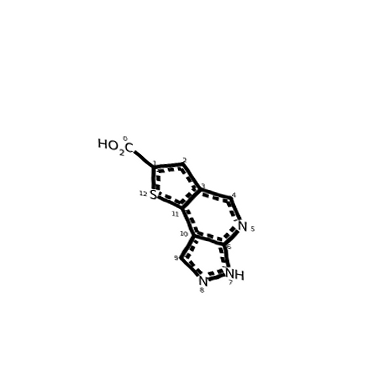 O=C(O)c1cc2cnc3[nH]ncc3c2s1